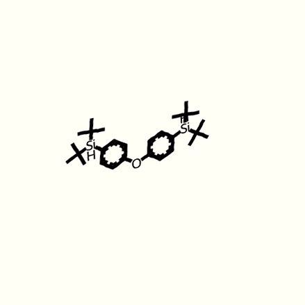 CC(C)(C)[SiH](c1ccc(Oc2ccc([SiH](C(C)(C)C)C(C)(C)C)cc2)cc1)C(C)(C)C